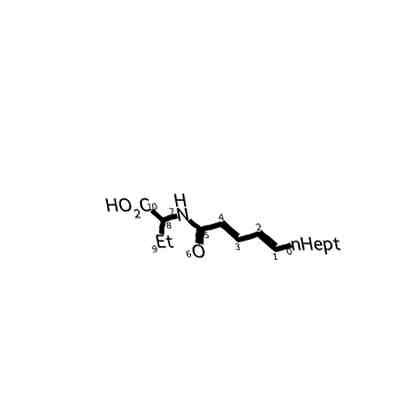 CCCCCCC/C=C/C=C/C(=O)NC(CC)C(=O)O